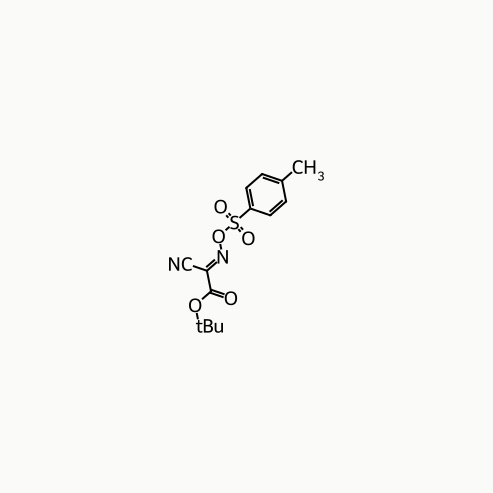 Cc1ccc(S(=O)(=O)O/N=C(\C#N)C(=O)OC(C)(C)C)cc1